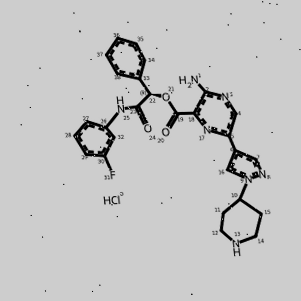 Cl.Nc1ncc(-c2cnn(C3CCNCC3)c2)nc1C(=O)O[C@@H](C(=O)Nc1cccc(F)c1)c1ccccc1